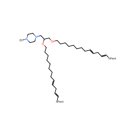 CCCCCC=CCC=CCCCCCCCCOCC(CN1CCN(CC)CC1)OCCCCCCCCC=CCC=CCCCCC